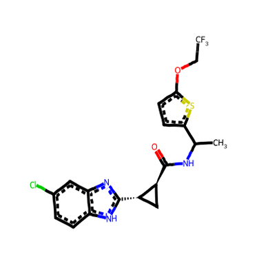 CC(NC(=O)[C@H]1C[C@@H]1c1nc2cc(Cl)ccc2[nH]1)c1ccc(OCC(F)(F)F)s1